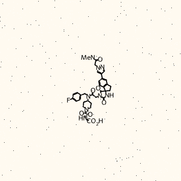 CNC(=O)Cn1cc(-c2ccc3c(c2)CCC32NC(=O)N(CC(=O)N(Cc3ccc(F)cc3)C3CCN(S(=O)(=O)NC(=O)O)CC3)C2=O)cn1